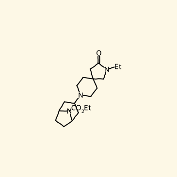 CCOC(=O)N1C2CCC1CC(N1CCC3(CC1)CC(=O)N(CC)C3)C2